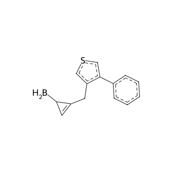 BC1C=C1Cc1cscc1-c1ccccc1